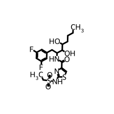 CCCCC(O)C(O)C(Cc1cc(F)cc(F)c1)NC(=O)c1csc(NS(=O)(=O)CC)n1